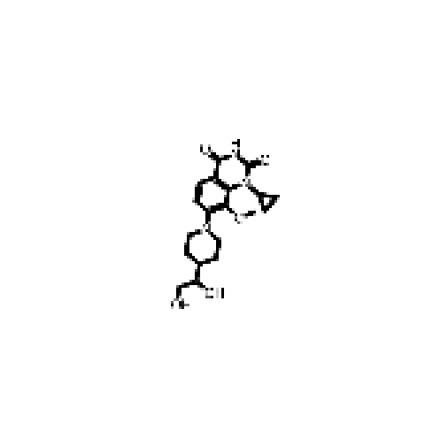 COc1c(N2CCC(C(O)CO)CC2)ccc2c(=O)[nH]c(=O)n(C3CC3)c12